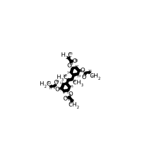 C=CC(=O)Oc1cc(OC(=O)C=C)cc(/C(C)=C(\C)c2cc(OC(=O)C=C)cc(OC(=O)C=C)c2)c1